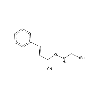 CC(C)(C)C[SiH2]OC(C#N)C=Cc1ccccc1